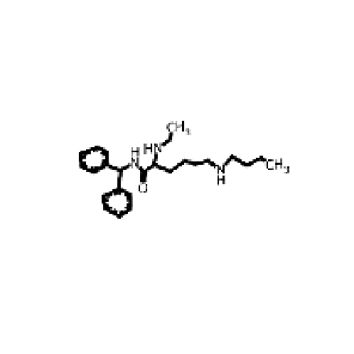 CCCCNCCCCC(NCC)C(=O)NC(c1ccccc1)c1ccccc1